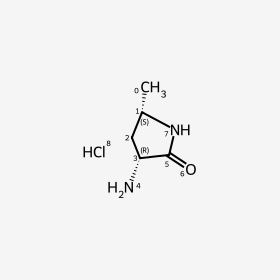 C[C@H]1C[C@@H](N)C(=O)N1.Cl